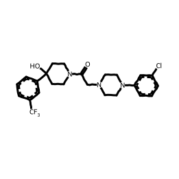 O=C(CN1CCN(c2cccc(Cl)c2)CC1)N1CCC(O)(c2cccc(C(F)(F)F)c2)CC1